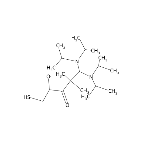 CC(C)N(C(C)C)C(N(C(C)C)C(C)C)C(C)(C)C(=O)C([O])CS